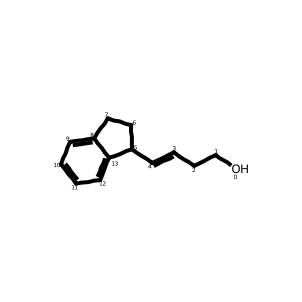 OCCC=CC1CCc2ccccc21